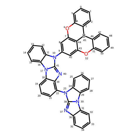 c1ccc2c(c1)Oc1cc(-n3c4ccccc4n4c5cccc(-n6c7ccccc7n7c8ccccc8nc67)c5nc34)cc3c1B2c1ccccc1O3